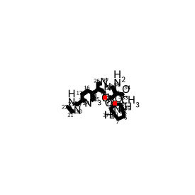 COC(=O)N1[C@@H]2CC[C@H]1C[C@H](c1nc3c(-c4ccc(-c5ncc[nH]5)nc4)cnn3c(N)c1C(C)=O)C2